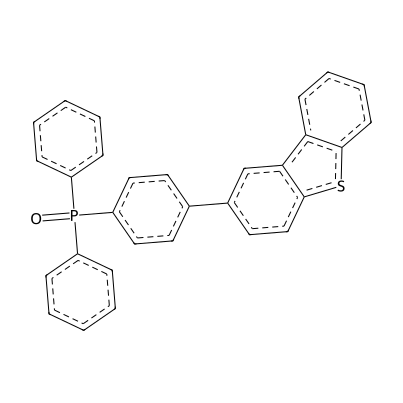 O=P(c1ccccc1)(c1ccccc1)c1ccc(-c2ccc3sc4ccccc4c3c2)cc1